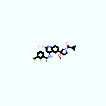 Bc1cc(N[C@H](C)c2cccc(C(F)F)c2F)c2cc([C@@]3(OC)CCN(C(=O)C4CC4)C3)ccc2n1